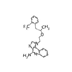 CC(Cc1ccccc1C(F)(F)F)OCCn1cnc2c(N)nc3ccccc3c21